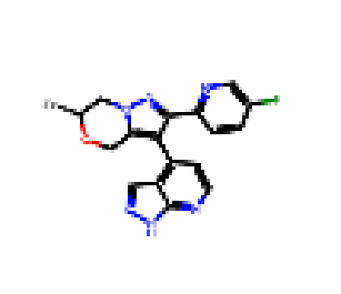 CC(C)C1Cn2nc(-c3ccc(F)cn3)c(-c3ccnc4[nH]ncc34)c2CO1